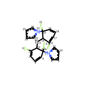 FC1=CC=CC(F)(n2cccc2)[CH]1[Ti][CH]1C(F)=CC=CC1(F)n1cccc1